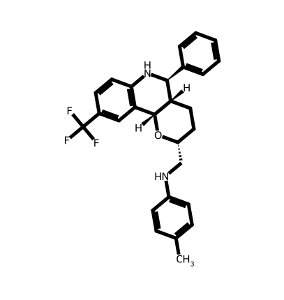 Cc1ccc(NC[C@H]2CC[C@@H]3[C@H](O2)c2cc(C(F)(F)F)ccc2N[C@H]3c2ccccc2)cc1